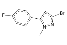 Cn1nc(Br)cc1-c1ccc(F)cc1